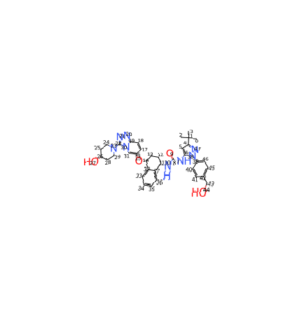 CC(C)(C)c1cc(NC(=O)N[C@H]2CC[C@@H](Oc3ccc4nnc(N5CCC(O)CC5)n4c3)c3ccccc32)n(-c2ccc(CO)cc2)n1